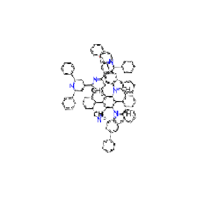 Cc1cccc(C)c1-c1c(C#N)c(-n2c3ccccc3c3cc(-c4ccccc4)ccc32)c(-c2c(C)cccc2C)c(-n2c3ccccc3c3cc(-c4ccccc4)ccc32)c1-c1cc(-c2cc(-c3ccccc3)nc(-c3ccccc3)c2)nc(-c2cc(-c3ccccc3)nc(-c3ccccc3)c2)c1